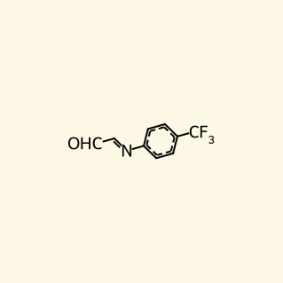 O=CC=Nc1ccc(C(F)(F)F)cc1